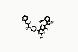 COc1nc(N2CCN(C(=O)/C(F)=C/c3ccccn3)CC2)c2cnc(-c3c[nH]c4cccc(C#N)c34)c(F)c2n1